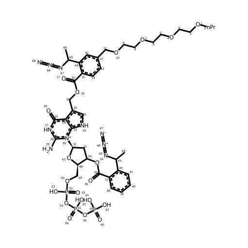 CCCOCCOCCOCCOCc1ccc(C(=O)OCc2c[nH]c3c2c(=O)[nH]c(N)[n+]3[C@H]2CC(OC(=O)c3ccccc3C(C)N=[N+]=[N-])[C@@H](COP(=O)(O)OP(=O)(O)OP(=O)(O)O)O2)c(C(C)N=[N+]=[N-])c1